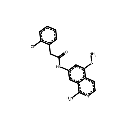 NSc1cc(NC(=O)Cc2ccccc2Cl)cc2c(N)nccc12